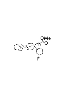 CCOC(=O)N1C2CCC1CC(N1CCC3(CC1)CN(C(=O)OC)c1ccc(F)cc13)C2